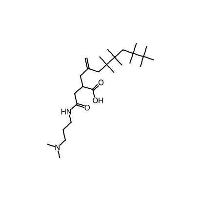 C=C(CC(CC(=O)NCCCN(C)C)C(=O)O)CC(C)(C)C(C)(C)CC(C)(C)C(C)(C)C